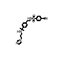 CC(C)(NCCCn1ccnc1)c1ccc(CCNS(=O)(=O)c2ccc(C#N)cc2)cc1